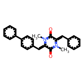 Cn1c(=O)c(=Cc2ccc(-c3ccccc3)cc2)n(C)c(=O)c1=Cc1ccccc1